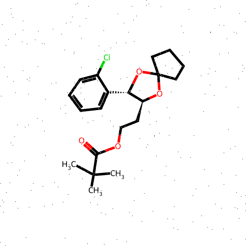 CC(C)(C)C(=O)OCC[C@@H]1OC2(CCCC2)O[C@H]1c1ccccc1Cl